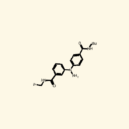 CCC(C)NC(=O)c1c[c]c(N(N)c2cccc(C(=O)NCC(C)C)c2)cc1